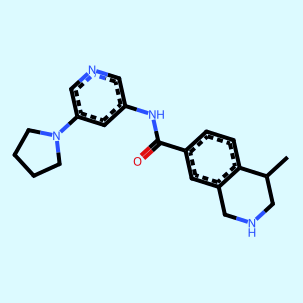 CC1CNCc2cc(C(=O)Nc3cncc(N4CCCC4)c3)ccc21